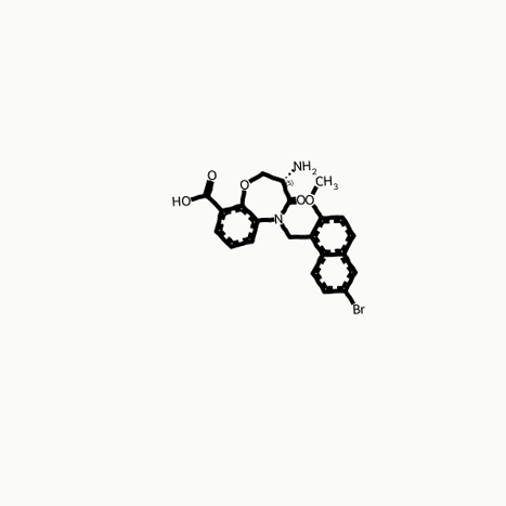 COc1ccc2cc(Br)ccc2c1CN1C(=O)[C@@H](N)COc2c(C(=O)O)cccc21